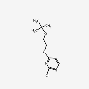 CC(C)(C)OCCOc1ccnc(Cl)n1